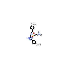 CCN(CC)CCCS(=O)(=O)N(CCc1ccc(OC)cc1)Cc1nc(-c2ccc(OC)cc2)n[nH]1